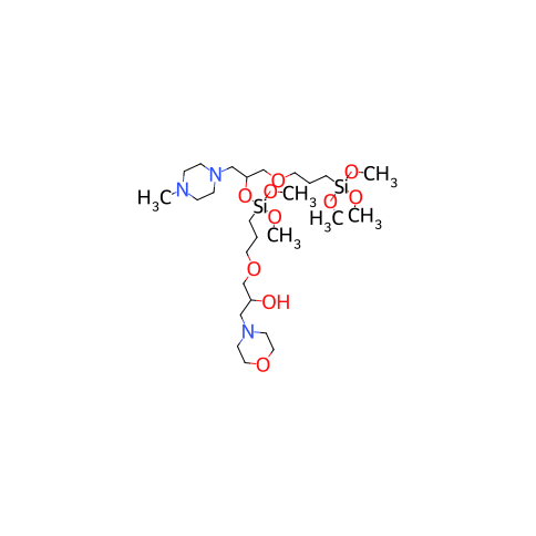 CO[Si](CCCOCC(CN1CCN(C)CC1)O[Si](CCCOCC(O)CN1CCOCC1)(OC)OC)(OC)OC